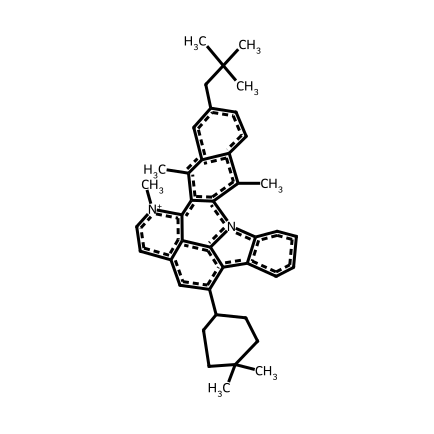 Cc1c2cc(CC(C)(C)C)ccc2c(C)c2c1c1c3c(cc[n+]1C)cc(C1CCC(C)(C)CC1)c1c4ccccc4n2c13